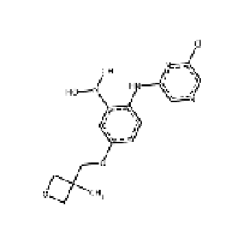 CC1(COc2ccc(Nc3cncc(Cl)n3)c(N(O)O)c2)COC1